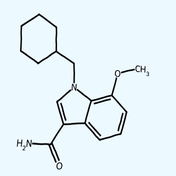 COc1cccc2c(C(N)=O)cn(CC3CCCCC3)c12